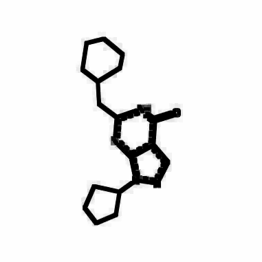 O=c1[nH]c(CC2CCCCC2)nc2c1cnn2C1CCCC1